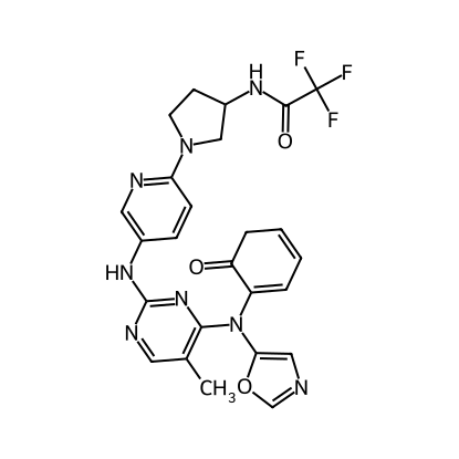 Cc1cnc(Nc2ccc(N3CCC(NC(=O)C(F)(F)F)C3)nc2)nc1N(C1=CC=CCC1=O)c1cnco1